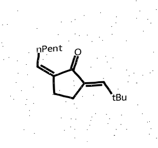 CCCCCC=C1CCC(=CC(C)(C)C)C1=O